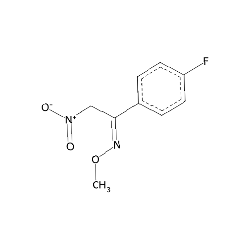 CON=C(C[N+](=O)[O-])c1ccc(F)cc1